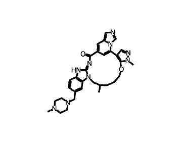 CC1CCCOc2c(cnn2C)-c2cc(cc3cncn23)C(=O)/N=C2\Nc3ccc(CN4CCN(C)CC4)cc3N2C1